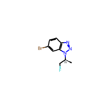 C[C@@H](CF)n1nnc2ccc(Br)cc21